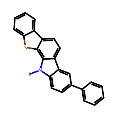 In1c2ccc(-c3ccccc3)cc2c2ccc3c4ccccc4sc3c21